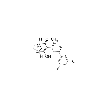 Cc1ccc(-c2cc(F)cc(Cl)c2)cc1C1=C(O)[C@H]2CC[C@H](C2)C1=O